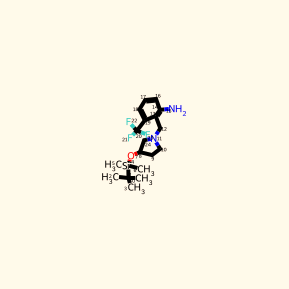 CC(C)(C)[Si](C)(C)OC1CCN(Cc2c(N)cccc2C(F)(F)F)C1